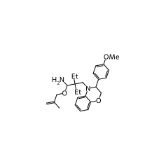 C=C(C)COC(N)C(CC)(CC)CN1c2ccccc2OCC1c1ccc(OC)cc1